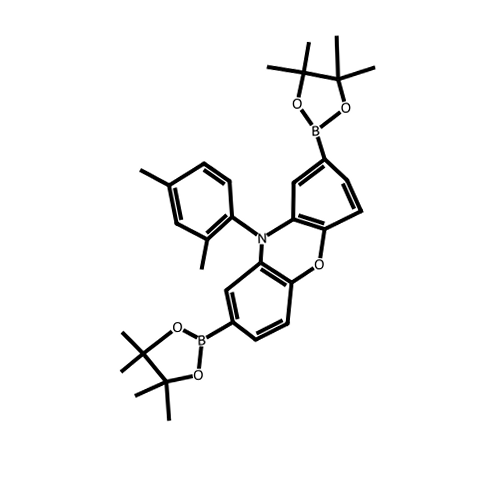 Cc1ccc(N2c3cc(B4OC(C)(C)C(C)(C)O4)ccc3Oc3ccc(B4OC(C)(C)C(C)(C)O4)cc32)c(C)c1